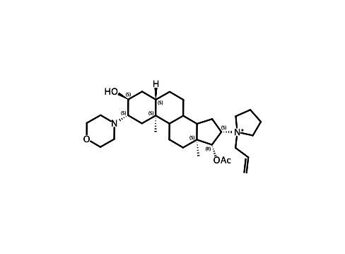 C=CC[N+]1([C@H]2CC3C4CC[C@H]5C[C@H](O)[C@@H](N6CCOCC6)C[C@]5(C)C4CC[C@]3(C)[C@H]2OC(C)=O)CCCC1